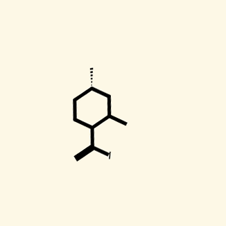 C=C(I)C1CC[C@H](C)CC1C